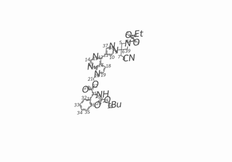 CCS(=O)(=O)N1CC(CC#N)(n2cc(-c3ncnc4c3ccn4COC(=O)[C@@H](NC(=O)OC(C)(C)C)c3ccccc3)cn2)C1